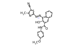 COc1ccc(NC(=O)c2cc3ccccc3c(/N=N/c3nc(C)c(C#N)s3)c2O)cc1